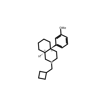 COc1cccc([C@]23CCCC[C@@H]2CN(CC2CCC2)CC3)c1